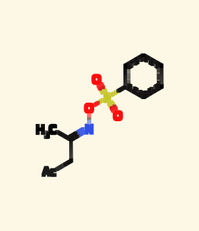 CC(=O)C/C(C)=N/OS(=O)(=O)c1ccccc1